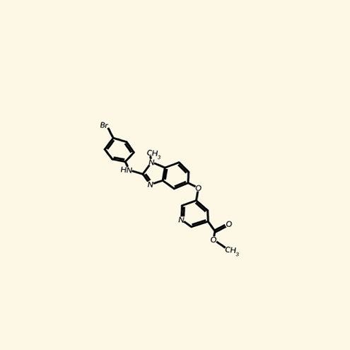 COC(=O)c1cncc(Oc2ccc3c(c2)nc(Nc2ccc(Br)cc2)n3C)c1